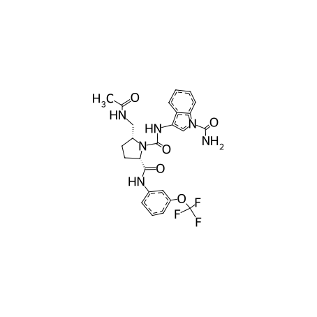 CC(=O)NC[C@H]1CC[C@@H](C(=O)Nc2cccc(OC(F)(F)F)c2)N1C(=O)Nc1cn(C(N)=O)c2ccccc12